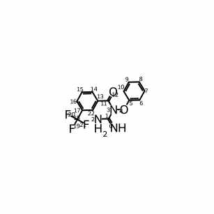 N=C(N)N(Oc1ccccc1)C(=O)c1cccc(C(F)(F)F)c1